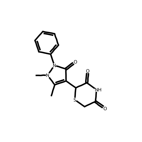 Cc1c(C2SCC(=O)NC2=O)c(=O)n(-c2ccccc2)n1C